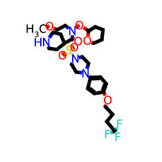 COCCN(OC1CCCCO1)C(=O)C1(S(=O)(=O)N2CCN(c3ccc(OCCCC(F)(F)F)cc3)CC2)CCNCC1